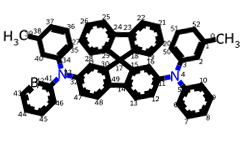 CC1=CC(N(c2ccccc2)c2ccc3c(c2)C2(c4ccccc4-c4ccccc42)c2cc(N(C4=CC=CC(C)C4)c4bcccc4)ccc2-3)=CCC1